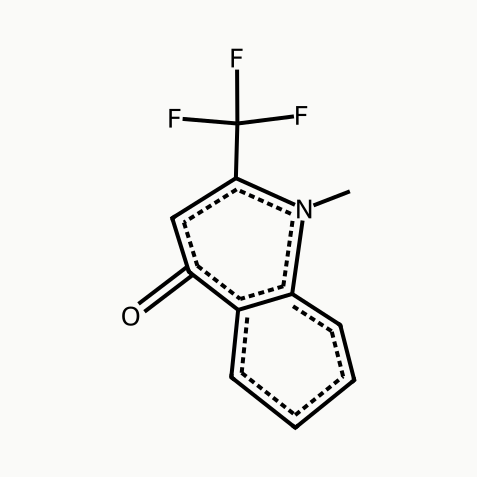 Cn1c(C(F)(F)F)cc(=O)c2ccccc21